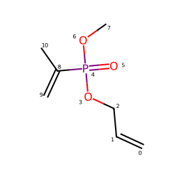 C=CCOP(=O)(OC)C(=C)C